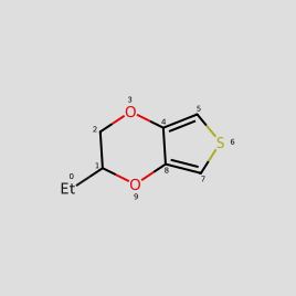 CCC1COc2cscc2O1